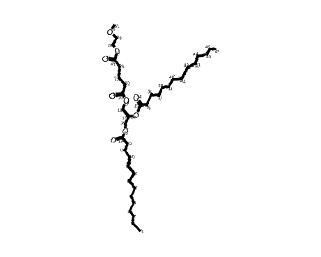 CCCCCCCCCCCCCC(=O)OCC(COC(=O)CCCC(=O)OCCOC)OC(=O)CCCCCCCCCCCCC